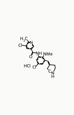 CNc1c(C=C2CCNCC2)cc(Cl)cc1NC(=O)c1cnc(C)c(Cl)c1.Cl